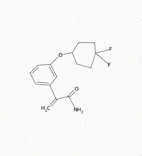 C=C(C(N)=O)c1cccc(OC2CCC(F)(F)CC2)c1